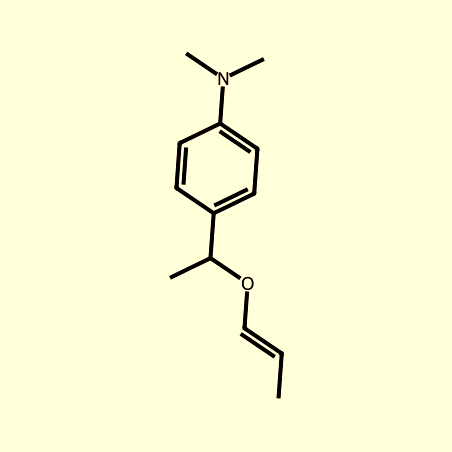 CC=COC(C)c1ccc(N(C)C)cc1